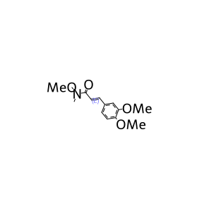 COc1ccc(/C=C/C(=O)N(C)OC)cc1OC